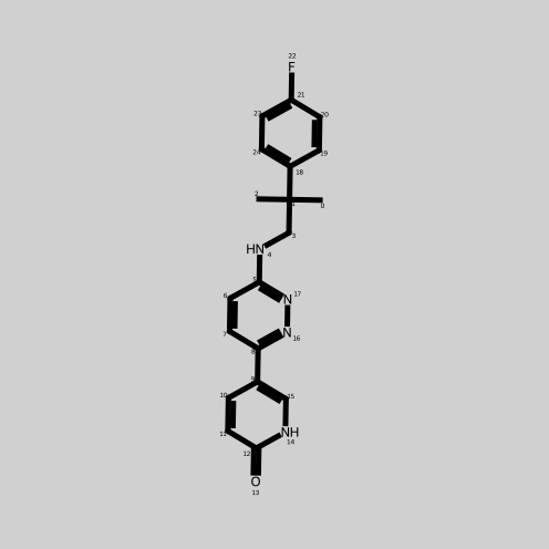 CC(C)(CNc1ccc(-c2ccc(=O)[nH]c2)nn1)c1ccc(F)cc1